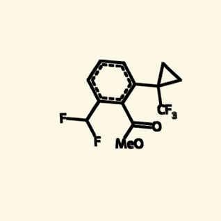 COC(=O)c1c(C(F)F)cccc1C1(C(F)(F)F)CC1